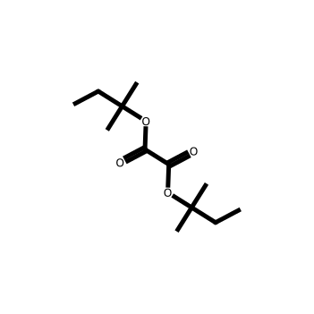 CCC(C)(C)OC(=O)C(=O)OC(C)(C)CC